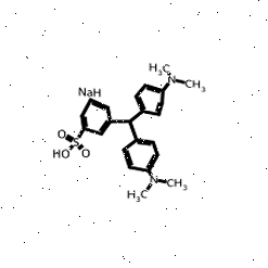 CN(C)c1ccc(C(c2ccc(N(C)C)cc2)c2cccc(S(=O)(=O)O)c2)cc1.[NaH]